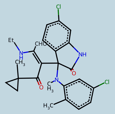 CCN/C(C=O)=C(\C(=O)C1(C)CC1)C1(N(C)c2cc(Cl)ccc2C)C(=O)Nc2cc(Cl)ccc21